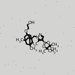 Cc1c(B2OC(C)(C)C(C)(C)O2)cnn1CC12CC3(C)CC(C)(C1)CC(OCCO)(C3)C2